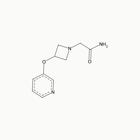 NC(=O)CN1CC(Oc2cccnc2)C1